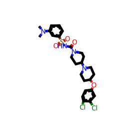 CN(C)c1cccc(S(=O)(=O)NC(=O)N2CCC(N3CCC(Oc4ccc(Cl)c(Cl)c4)CC3)CC2)c1